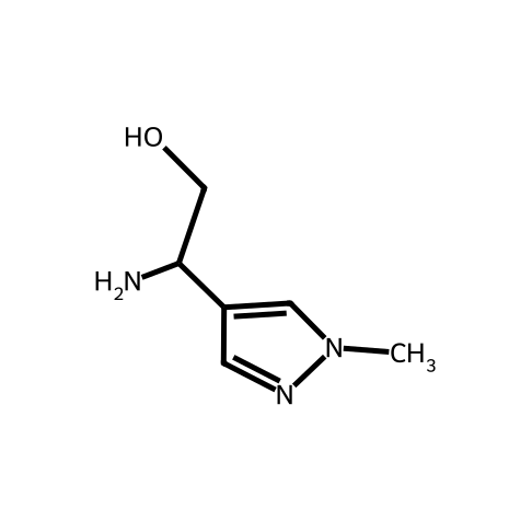 Cn1cc(C(N)CO)cn1